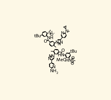 COc1c(NC(=O)c2ccc(C)c(-n3cc(-c4ccc(N)nc4)nn3)c2)cc(C(C)(C)C)cc1NS(C)(=O)=O.Cc1ccc(C(=O)Nc2cc(C(C)(C)C)ccc2[S+](C)[O-])cc1-n1cc(-c2ccc(N(C)C3CC3)nc2)nn1